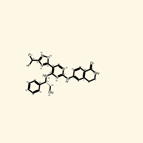 O=C1NCCc2cc(Nc3ncc(-c4nc(C(F)F)no4)c(N[C@H](CO)c4ccccc4)n3)ccc21